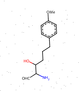 COc1ccc(CCCC(O)C(N)C=O)cc1